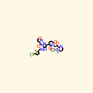 COc1c(-c2cc(NCc3ccc(Cl)s3)n(C(=O)c3ccon3)n2)ccc(=O)n1CC(=O)c1ncccn1